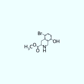 COC(=O)C1Cc2c(Br)ccc(O)c2CN1